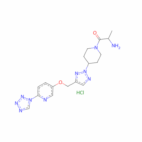 CC(N)C(=O)N1CCC(n2ncc(COc3ccc(-n4cnnn4)nc3)n2)CC1.Cl